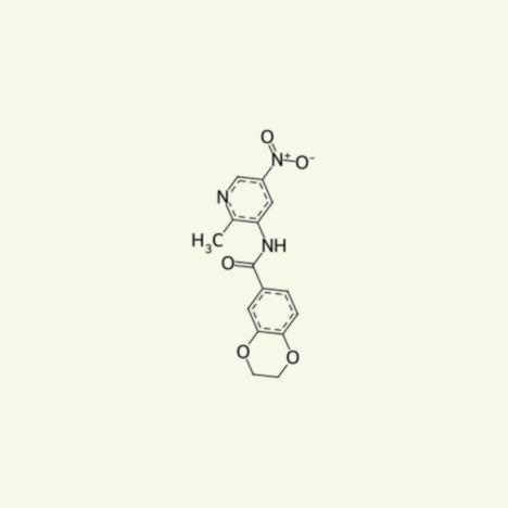 Cc1ncc([N+](=O)[O-])cc1NC(=O)c1ccc2c(c1)OCCO2